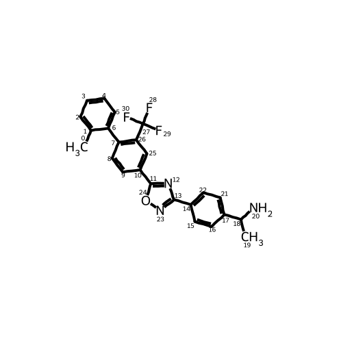 Cc1ccccc1-c1ccc(-c2nc(-c3ccc(C(C)N)cc3)no2)cc1C(F)(F)F